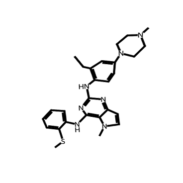 CCc1cc(N2CCN(C)CC2)ccc1Nc1nc(Nc2ccccc2SC)c2c(ccn2C)n1